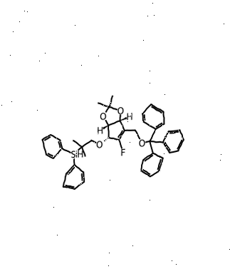 CC1(C)O[C@@H]2[C@H](O1)C(COC(c1ccccc1)(c1ccccc1)c1ccccc1)=C(F)[C@@H]2OCC(C)(C)[SiH](c1ccccc1)c1ccccc1